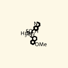 COc1cccc2c1CCCC2CN(C)CCc1ccc2cccnc2c1.CS(=O)(=O)O